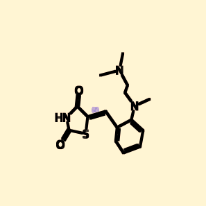 CN(C)CCN(C)c1ccccc1/C=C1\SC(=O)NC1=O